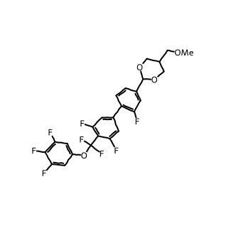 COCC1COC(c2ccc(-c3cc(F)c(C(F)(F)Oc4cc(F)c(F)c(F)c4)c(F)c3)c(F)c2)OC1